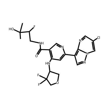 CC(C)(O)C(F)CNC(=O)c1cnc(-c2cnn3cc(Cl)cnc23)cc1NC1COCC1(F)F